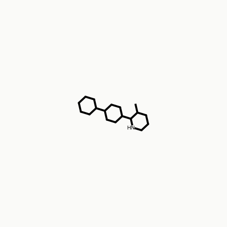 CC1CCCNC1C1CCC(C2CCCCC2)CC1